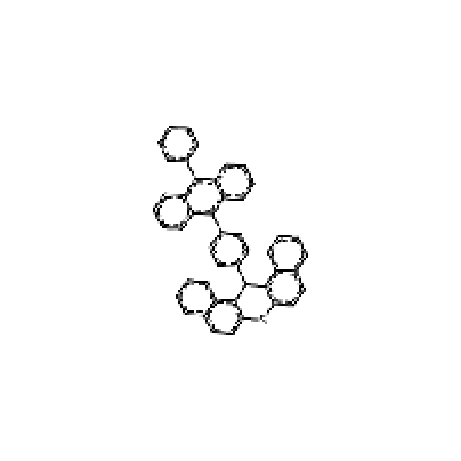 c1ccc(-c2c3ccccc3c(-c3ccc(C4c5c(ccc6ccccc56)Sc5ccc6ccccc6c54)cc3)c3ccccc23)cc1